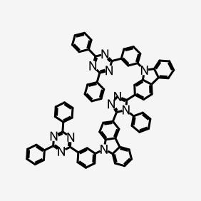 c1ccc(-c2nc(-c3ccccc3)nc(-c3cccc(-n4c5ccccc5c5cc(-c6nnc(-c7ccc8c9ccccc9n(-c9cccc(-c%10nc(-c%11ccccc%11)nc(-c%11ccccc%11)n%10)c9)c8c7)n6-c6ccccc6)ccc54)c3)n2)cc1